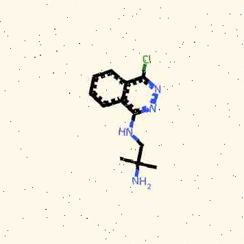 CC(C)(N)CNc1nnc(Cl)c2ccccc12